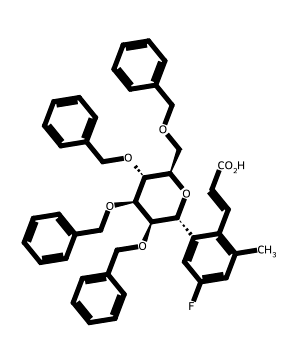 Cc1cc(F)cc([C@H]2O[C@H](COCc3ccccc3)[C@@H](OCc3ccccc3)[C@H](OCc3ccccc3)[C@@H]2OCc2ccccc2)c1/C=C/C(=O)O